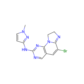 Cn1ccc(Nc2ncc3c(n2)N2CCN=C2C(Br)=C3)n1